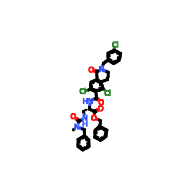 CN(Cc1ccccc1)C(=O)NC[C@H](NC(=O)c1c(Cl)cc2c(c1Cl)CCN(Cc1cccc(Cl)c1)C2=O)C(=O)OCc1ccccc1